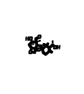 CC1=C([C@H](C)O)C(C)(C)[C@](O)(CC2C3COC3C[C@H](O)[C@@]2(C)C=O)CC1